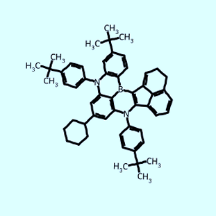 CC(C)(C)c1ccc(N2C3=C(B4c5ccc(C(C)(C)C)cc5N(c5ccc(C(C)(C)C)cc5)c5cc(C6CCCCC6)cc2c54)C2=CCCc4cccc3c42)cc1